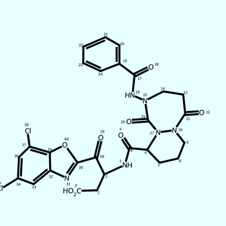 O=C(O)CC(NC(=O)C1CCCN2C(=O)CCN(NC(=O)c3ccccc3)C(=O)N12)C(=O)c1nc2cc(Cl)cc(Cl)c2o1